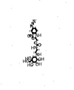 [N-]=[N+]=Nc1ccc(NCCOC(=O)NCCN[C@H]2C[C@](O)(CO)[C@@H](O)[C@H](O)[C@H]2O)c([N+](=O)[O-])c1